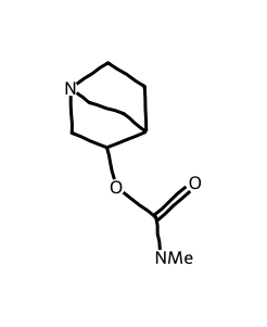 CNC(=O)OC1CN2CCC1CC2